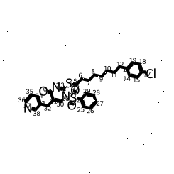 O=c1nc(SCCCCCCCCc2ccc(Cl)cc2)n(S(=O)(=O)c2ccccc2)cc1Cc1cccnc1